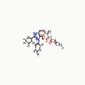 C=CC(O)CC(=O)C(CC)C(=O)Oc1c(C(C)C)nc(-c2ccccc2)n1-c1ccc(F)cc1